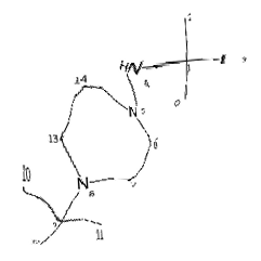 CC(C)(I)NN1CCN(C(C)(C)C)CC1